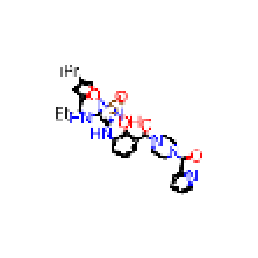 CC[C@@H](Nc1n[s+]([O-])nc1Nc1cccc(C(=O)N2CCN(C(=O)c3ccccn3)CC2)c1O)c1cc(C(C)C)co1